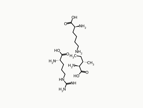 CC[C@H](C)[C@H](N)C(=O)O.N=C(N)NCCC[C@H](N)C(=O)O.NCCCC[C@H](N)C(=O)O